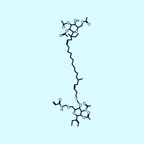 C=CC(=O)NCOCC1OC(/C(=C/C)CC)C(OC(C)=O)C(OC(C)=O)C1OCCCC/C=C\CC(C)CCCCCCCCCC/C=C\CC(C)(CC)C1OC(COC(C)=O)C(O)C(OC(C)=O)C1OC(C)=O